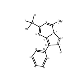 Cc1nn2c(O)cc(C(C)(C)C)nc2c1-c1ccccc1